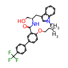 CCCOc1ccc(-c2ccc(C(F)(F)F)cc2)cc1C(=O)N[C@@H](CO)Cc1cn(C)c2ccccc12